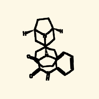 O=c1[nH]c2ccccc2n([C@@H]2C[C@H]3CC[C@@H](C2)N3C2CCCCCC2)c1=O